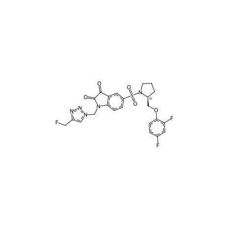 O=C1C(=O)N(Cn2cc(CF)nn2)c2ccc(S(=O)(=O)N3CCC[C@H]3COc3ccc(F)cc3F)cc21